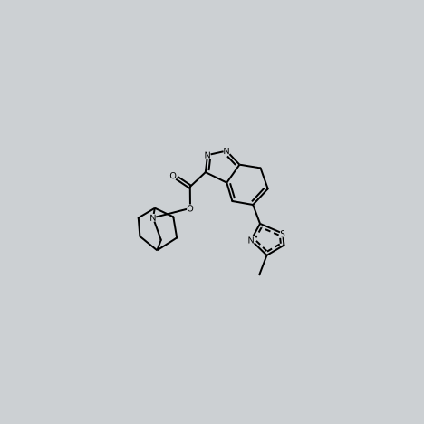 Cc1csc(C2=CCC3=NN=C(C(=O)ON4CC5CCC4CC5)C3=C2)n1